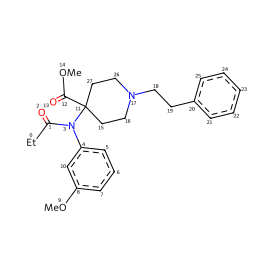 CCC(=O)N(c1cccc(OC)c1)C1(C(=O)OC)CCN(CCc2ccccc2)CC1